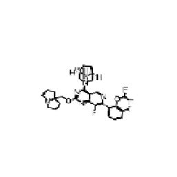 Fc1cccc(-c2ncc3c(N4C[C@H]5CC[C@@H](C4)N5)nc(OCC45CCCN4CCC5)nc3c2F)c1OC(F)F